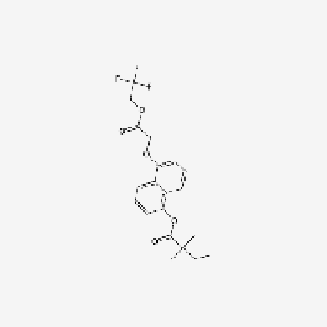 CCC(C)(C)C(=O)Oc1cccc2c(OCC(=O)OCC(C)(F)F)cccc12